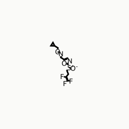 [O-][S+](CCC(F)=C(F)F)c1ncc(C=NOCC2CC2)o1